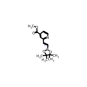 COC(=O)c1ccnc(/C=C/B2OC(C)(C)C(C)(C)O2)c1